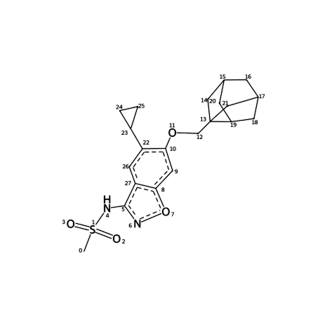 CS(=O)(=O)Nc1noc2cc(OCC34CC5CC(CC3C5)C4)c(C3CC3)cc12